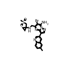 Cc1ccc2ncc(-c3cnn4c(N)c(Br)c(CNC5(CS(C)(=O)=O)CC5)nc34)cc2c1